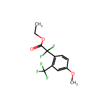 CCOC(=O)C(F)(F)c1ccc(OC)cc1C(F)(F)F